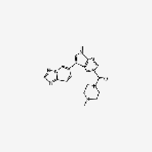 CN1CCN(C(=O)c2cnc3[nH]cc(-c4ccc5ncnn5c4)c3c2)CC1